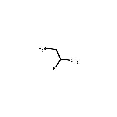 BCC(C)F